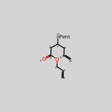 C=CCOC(=O)CC(CC=C)CCCCC